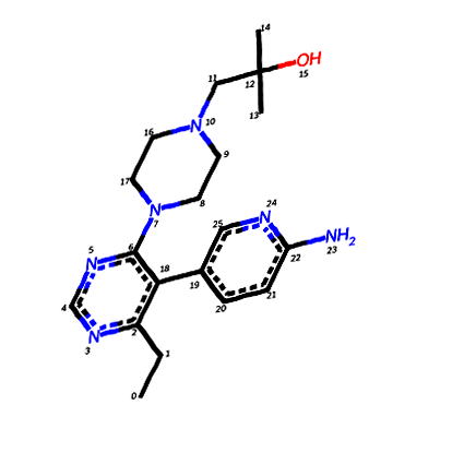 CCc1ncnc(N2CCN(CC(C)(C)O)CC2)c1-c1ccc(N)nc1